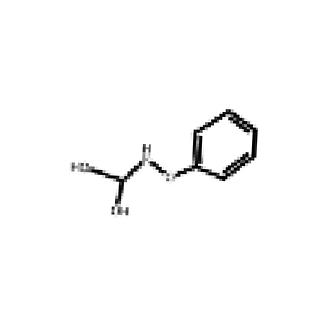 OC(O)POc1ccccc1